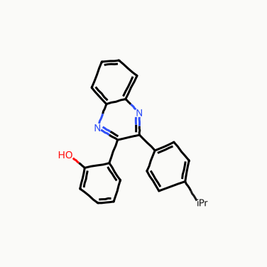 CC(C)c1ccc(-c2nc3ccccc3nc2-c2ccccc2O)cc1